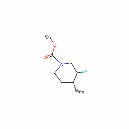 CN[C@@H]1CCN(C(=O)OC(C)(C)C)C[C@H]1F